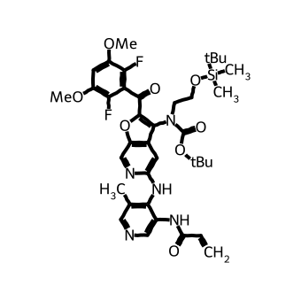 C=CC(=O)Nc1cncc(C)c1Nc1cc2c(N(CCO[Si](C)(C)C(C)(C)C)C(=O)OC(C)(C)C)c(C(=O)c3c(F)c(OC)cc(OC)c3F)oc2cn1